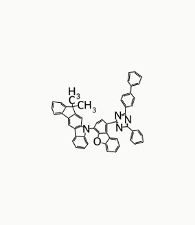 CC1(C)c2ccccc2-c2cc3c4ccccc4n(-c4ccc(-c5nc(-c6ccccc6)nc(-c6ccc(-c7ccccc7)cc6)n5)c5c4oc4ccccc45)c3cc21